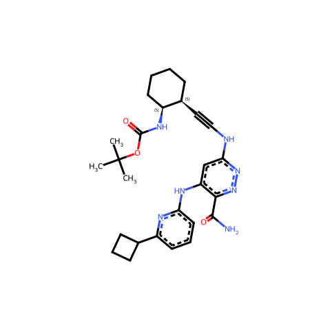 CC(C)(C)OC(=O)N[C@H]1CCCC[C@H]1C#CNc1cc(Nc2cccc(C3CCC3)n2)c(C(N)=O)nn1